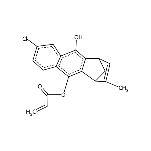 C=CC(=O)Oc1c2c(c(O)c3cc(Cl)ccc13)C1C=C(C)C2C1